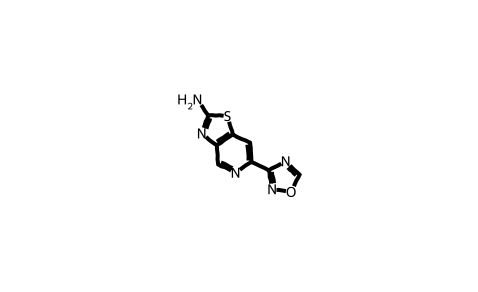 Nc1nc2cnc(-c3ncon3)cc2s1